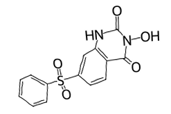 O=c1[nH]c2cc(S(=O)(=O)c3ccccc3)ccc2c(=O)n1O